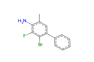 Cc1cc(-c2ccccc2)c(Br)c(F)c1N